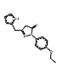 CCOc1ccc(N2N=C(Cc3ncc[nH]3)CC2=O)cc1